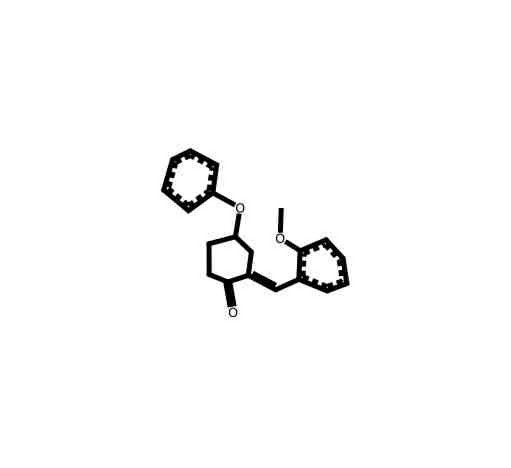 COc1ccccc1C=C1CC(Oc2ccccc2)CCC1=O